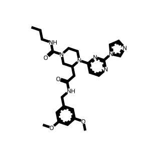 CCCNC(=O)N1CCN(c2ccnc(-n3ccnc3)n2)C(CC(=O)NCc2cc(OC)cc(OC)c2)C1